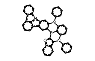 c1ccc(N2c3cc4c(cc3B3c5oc6ccccc6c5N(c5ccccc5)c5cccc2c53)c2cccc3c5ccccc5n4c32)cc1